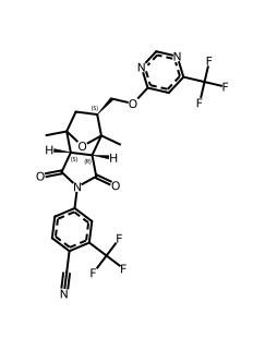 CC12C[C@@H](COc3cc(C(F)(F)F)ncn3)C(C)(O1)[C@@H]1C(=O)N(c3ccc(C#N)c(C(F)(F)F)c3)C(=O)[C@@H]12